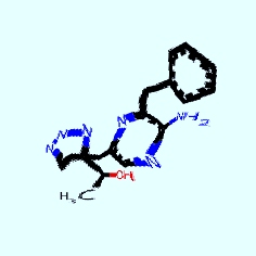 CC(O)C1(c2cnc(N)c(Cc3ccccc3)n2)C=NN=N1